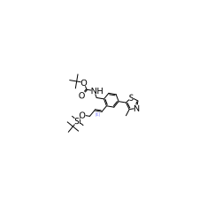 Cc1ncsc1-c1ccc(CNC(=O)OC(C)(C)C)c(/C=C/CO[Si](C)(C)C(C)(C)C)c1